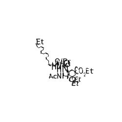 CC/C=C\C/C=C\C/C=C\C/C=C\C/C=C\C/C=C\CCC(=O)N[C@H](C(=O)N[C@H]1CC(C(=O)OCC)=C[C@@H](OC(CC)CC)[C@@H]1NC(C)=O)C(C)C